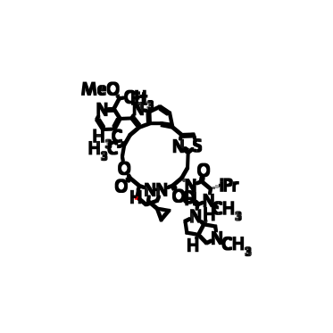 CCn1c(-c2cccnc2[C@H](C)OC)c2c3cc(ccc31)-c1csc(n1)C[C@H](NC(=O)[C@H](C(C)C)N(C)C(=O)N1CC[C@H]3CN(C)C[C@H]31)C(=O)N1CCC[C@@H](C(=O)OCC(C)(C)C2)N1CC1CC1